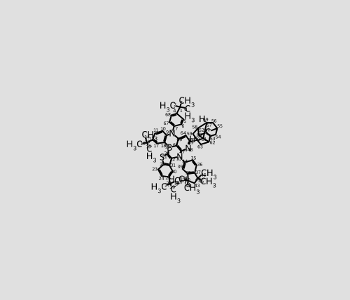 CC(C)(C)c1ccc(N2c3ccc(C(C)(C)C)cc3B3c4sc5ccc(C(C)(C)C)cc5c4N(c4ccc5c(c4)C(C)(C)CC5(C)C)c4nc([C@]56CC7C8CC9C[C@@H]7C(C5)[C@@H](C9)C8C6)cc2c43)cc1